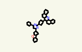 c1ccc(-c2cc(-c3ccc4c(c3)oc3ccccc34)nc(-c3ccc(-c4c5ccc6ccccc6c5nc5c4ccc4ccccc45)cc3)n2)cc1